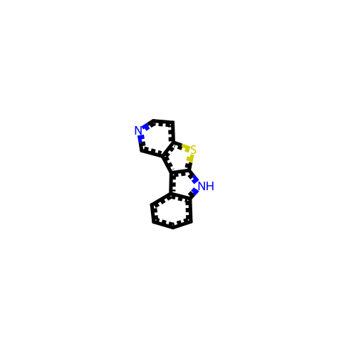 c1ccc2c(c1)[nH]c1sc3ccncc3c12